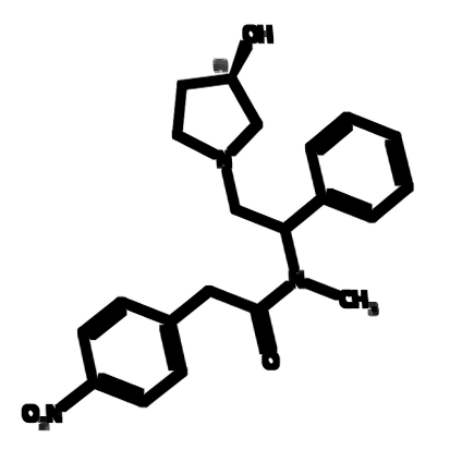 CN(C(=O)Cc1ccc([N+](=O)[O-])cc1)C(CN1CC[C@@H](O)C1)c1ccccc1